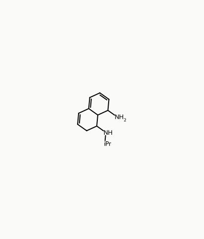 CC(C)NC1CC=CC2=CC=CC(N)C21